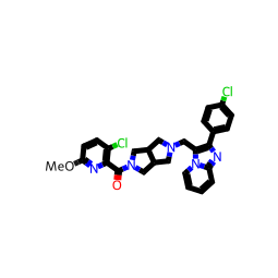 COc1ccc(Cl)c(C(=O)N2CC3CN(Cc4c(-c5ccc(Cl)cc5)nc5ccccn45)CC3C2)n1